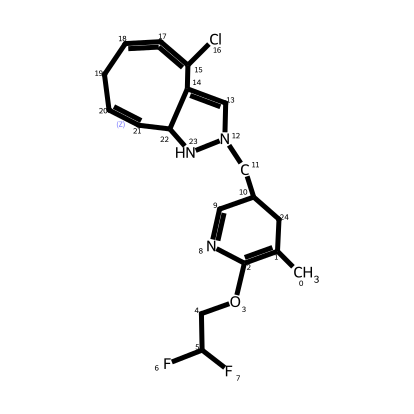 CC1=C(OCC(F)F)N=CC(CN2C=C3C(Cl)=C=CC/C=C\C3N2)C1